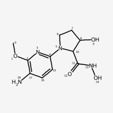 COc1nc(N2CCC(O)C2C(=O)NO)ccc1N